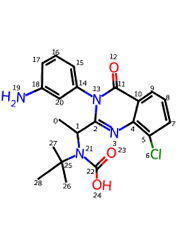 CC(c1nc2c(Cl)cccc2c(=O)n1-c1cccc(N)c1)N(C(=O)O)C(C)(C)C